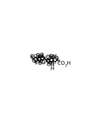 C[C@H]1O[C@H](CC(=O)O)Cc2c1c(O)c1c(O)c(-c3cc(=O)c4c(=O)c5c(c(=O)c=4c3=O)[C@@H](C)O[C@H](CC(=O)O)C5)cc(O)c1c2O